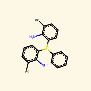 CC(=O)c1cccc([S+](c2ccccc2)c2cccc(C(C)=O)c2N)c1[NH-]